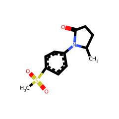 CC1CCC(=O)N1c1ccc(S(C)(=O)=O)cc1